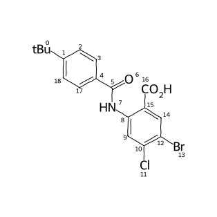 CC(C)(C)c1ccc(C(=O)Nc2cc(Cl)c(Br)cc2C(=O)O)cc1